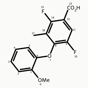 COc1ccccc1Oc1c(F)cc(C(=O)O)c(F)c1C